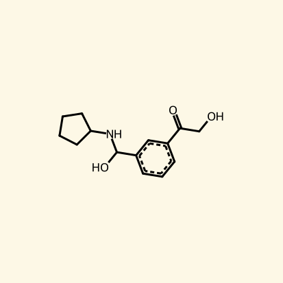 O=C(CO)c1cccc(C(O)NC2CCCC2)c1